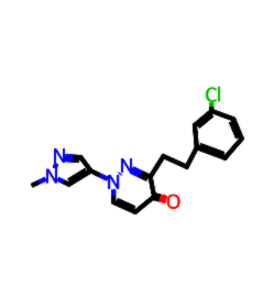 Cn1cc(-n2ccc(=O)c(CCc3cccc(Cl)c3)n2)cn1